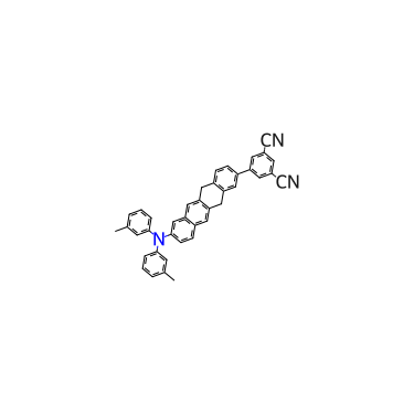 Cc1cccc(N(c2cccc(C)c2)c2ccc3cc4c(cc3c2)Cc2ccc(-c3cc(C#N)cc(C#N)c3)cc2C4)c1